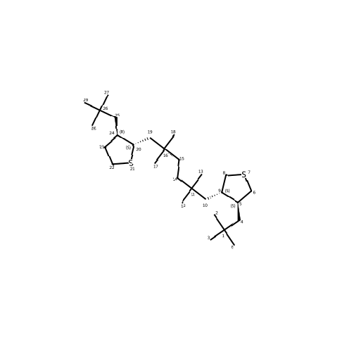 CC(C)(C)C[C@@H]1CSC[C@H]1CC(C)(C)CCC(C)(C)C[C@@H]1SCC[C@H]1CC(C)(C)C